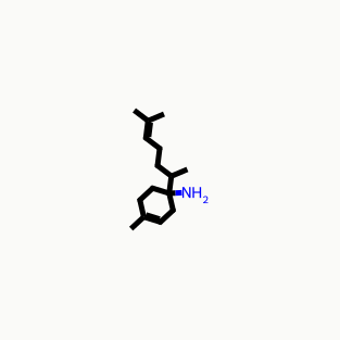 CC(C)=CCCC(C)C1(N)CC=C(C)CC1